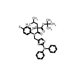 CC(C)C[C@](N)(C(=O)OC(C)(C)C)C(=O)N(Cc1csc(N(c2ccccc2)c2ccccc2)n1)c1ccc(F)cc1